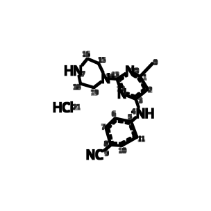 Cc1cc(Nc2ccc(C#N)cc2)nc(N2CCNCC2)n1.Cl